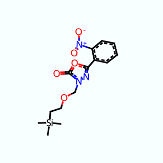 C[Si](C)(C)CCOCn1nc(-c2ccccc2[N+](=O)[O-])oc1=O